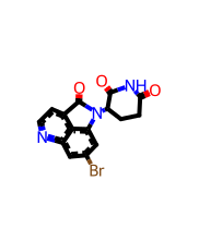 O=C1CCC(N2C(=O)c3ccnc4cc(Br)cc2c34)C(=O)N1